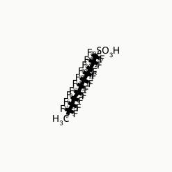 CC(F)(F)C(F)(F)C(F)(F)C(F)(F)C(F)(F)C(F)(F)C(F)(F)C(F)(F)C(F)(F)C(F)(F)S(=O)(=O)O